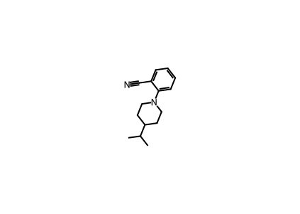 CC(C)C1CCN(c2ccccc2C#N)CC1